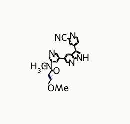 COC/C=C/C(=O)N(C)c1cncc(-c2cnc3[nH]cc(-c4ccnc(C#N)c4)c3c2)c1